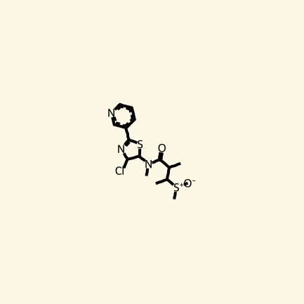 CC(C(=O)N(C)C1SC(c2cccnc2)=NC1Cl)C(C)[S+](C)[O-]